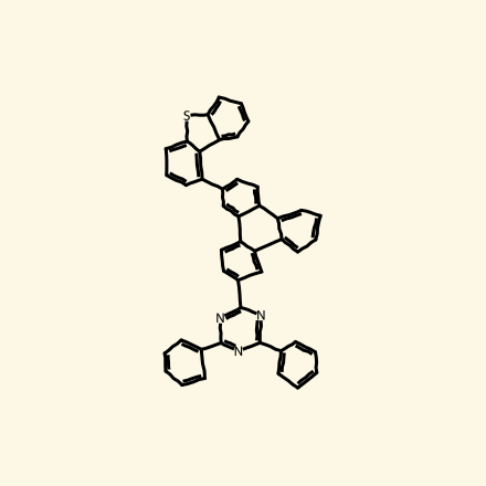 c1ccc(-c2nc(-c3ccccc3)nc(-c3ccc4c(c3)c3ccccc3c3ccc(-c5cccc6sc7ccccc7c56)cc34)n2)cc1